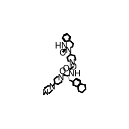 CN1CCN(C2CCN(C(=O)[C@@H](Cc3ccc4c(c3)CCCC4)NC(=O)ON3CCC(N4CCc5ccccc5NC4=O)CC3)CC2)CC1